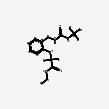 CCOC(=O)C(C)(C)Oc1ccccc1CNC(=O)OC(C)(C)C